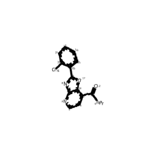 CCCC(=O)c1ccnc2nc(-c3ccccc3Cl)oc12